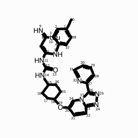 Cc1ccc(N/C(=C\C(=N)C(C)(C)C)NC(=O)NC2CCC(Oc3ccc4nnc(-c5ccccn5)n4c3)CC2)cc1